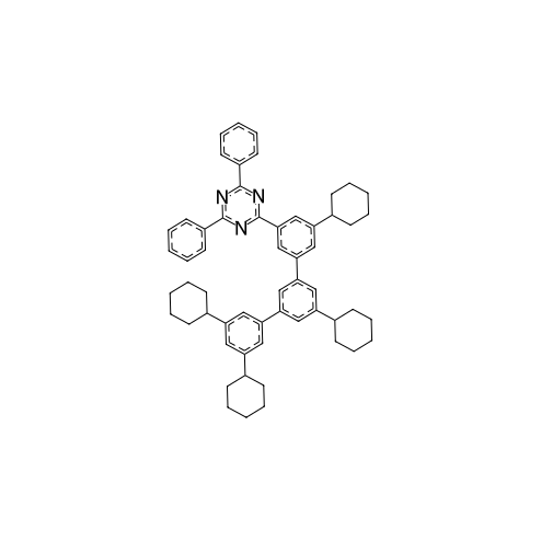 c1ccc(-c2nc(-c3ccccc3)nc(-c3cc(-c4cc(-c5cc(C6CCCCC6)cc(C6CCCCC6)c5)cc(C5CCCCC5)c4)cc(C4CCCCC4)c3)n2)cc1